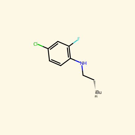 CC[C@@H](C)CCNc1ccc(Cl)cc1F